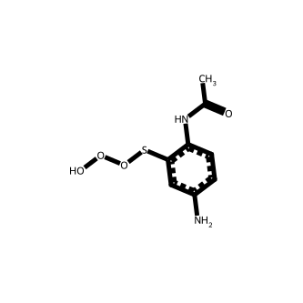 CC(=O)Nc1ccc(N)cc1SOOO